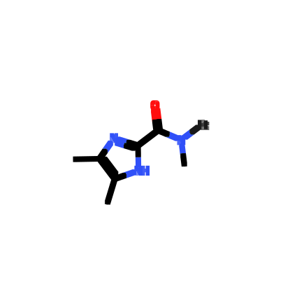 CCN(C)C(=O)c1nc(C)c(C)[nH]1